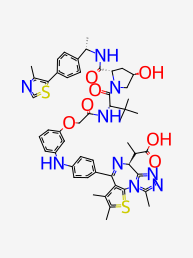 Cc1ncsc1-c1ccc([C@H](C)NC(=O)[C@@H]2C[C@@H](O)CN2C(=O)[C@@H](NC(=O)COc2cccc(Nc3ccc(C4=N[C@@H](C(C)C(=O)O)c5nnc(C)n5-c5sc(C)c(C)c54)cc3)c2)C(C)(C)C)cc1